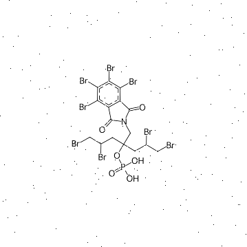 O=C1c2c(Br)c(Br)c(Br)c(Br)c2C(=O)N1CC(CC(Br)CBr)(CC(Br)CBr)OP(=O)(O)O